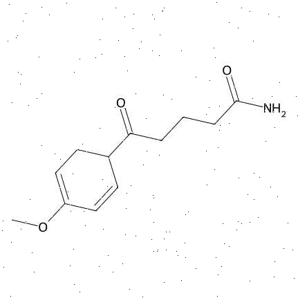 COC1=CCC(C(=O)CCCC(N)=O)C=C1